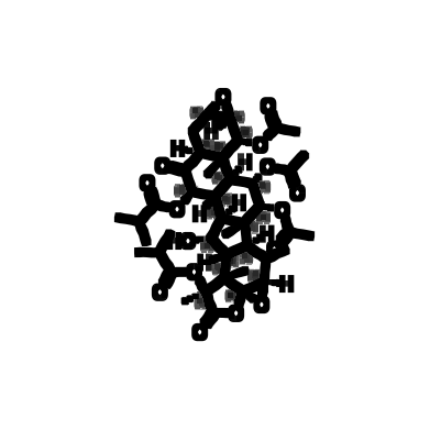 CC(=O)O[C@H]1[C@H]2[C@H]([C@@H]3[C@@H](O)[C@@H]4[C@H](C(C)[C@H]5O[C@]56OC(=O)[C@@](C)(OC(=O)C(C)C)[C@]46C)[C@@]3(C)[C@H]1OC(C)=O)[C@@H](OC(=O)C(C)C)C(=O)[C@H]1C[C@@H]3O[C@@H]3[C@H](OC(C)=O)[C@]21C